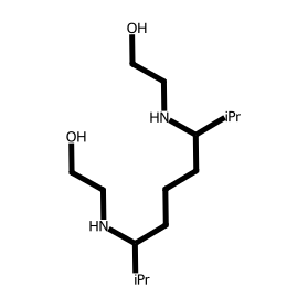 CC(C)C(CCCC(NCCO)C(C)C)NCCO